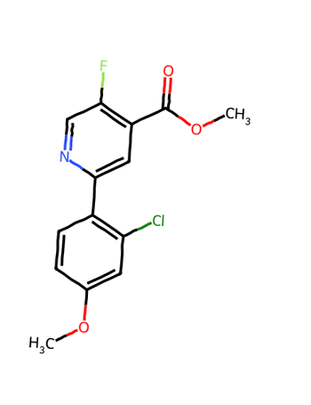 COC(=O)c1cc(-c2ccc(OC)cc2Cl)ncc1F